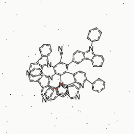 N#Cc1c(-c2ccc3c(c2)c2ccccc2n3-c2ccccc2)c(-c2ccc(-c3ccccc3)nc2-c2ccccc2)c(-n2c3ccccc3c3cnccc32)c(-n2c3ccccc3c3cnccc32)c1-n1c2ccccc2c2cnccc21